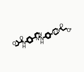 COCCC(=O)N1CCN(c2ccc(Nc3nccc(-c4ccc(NC(=O)C5CCOC5)cc4)n3)cc2)CC1